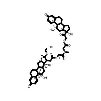 C[C@@H]1CC2C3CCC4=CC(=O)C=C[C@]4(C)[C@@]3(F)[C@@H](O)C[C@]2(C)[C@]1(O)C(CC(=O)NCC(=O)N(C)CC(=O)OCC(=O)[C@@]1(O)CCC2C3CCC4=CC(=O)C=C[C@]4(C)C3[C@@H](O)C[C@@]21C)C(=O)OCC=O